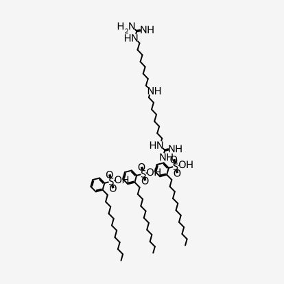 CCCCCCCCCCCCc1ccccc1S(=O)(=O)O.CCCCCCCCCCCCc1ccccc1S(=O)(=O)O.CCCCCCCCCCCCc1ccccc1S(=O)(=O)O.N=C(N)NCCCCCCCCNCCCCCCCCNC(=N)N